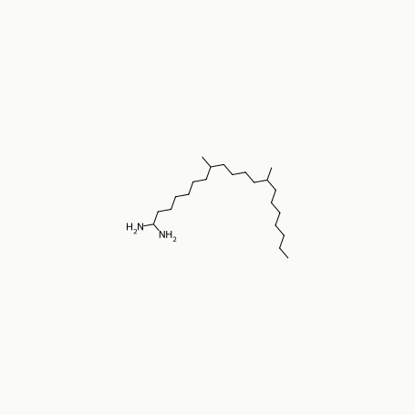 CCCCCCCC(C)CCCCC(C)CCCCCCC(N)N